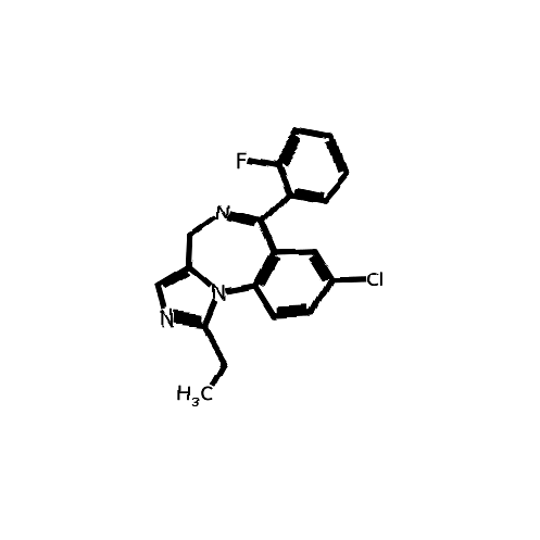 CCc1ncc2n1-c1ccc(Cl)cc1C(c1ccccc1F)=NC2